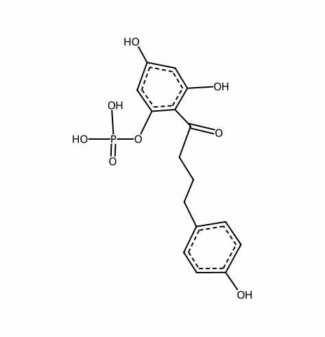 O=C(CCCc1ccc(O)cc1)c1c(O)cc(O)cc1OP(=O)(O)O